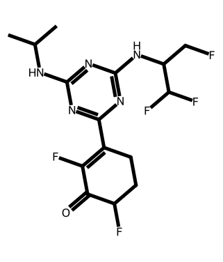 CC(C)Nc1nc(NC(CF)C(F)F)nc(C2=C(F)C(=O)C(F)CC2)n1